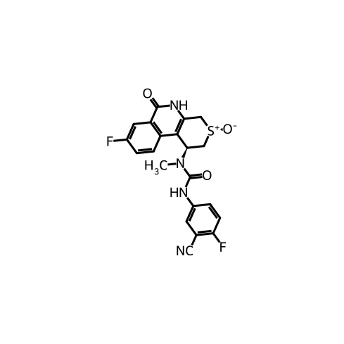 CN(C(=O)Nc1ccc(F)c(C#N)c1)[C@@H]1C[S@@+]([O-])Cc2[nH]c(=O)c3cc(F)ccc3c21